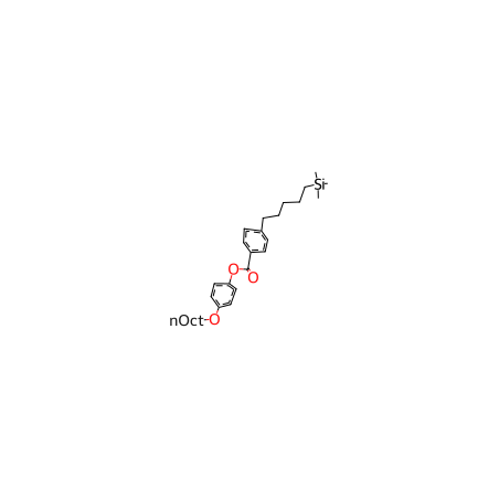 CCCCCCCCOc1ccc(OC(=O)c2ccc(CCCCC[Si](C)(C)C)cc2)cc1